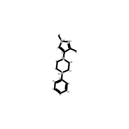 Cc1nn(C)cc1N1CCN(c2ccccc2)CC1